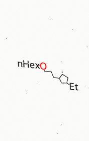 [CH2]CC1C[CH]C(CCCOCCCCCC)C1